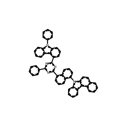 c1ccc(-c2nc(-c3cccc4c(-n5c6ccccc6c6c7ccccc7ccc65)cccc34)nc(-c3cccc4c3c3ccccc3n4-c3ccccc3)n2)cc1